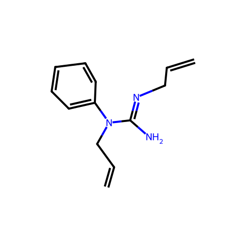 C=CCN=C(N)N(CC=C)c1ccccc1